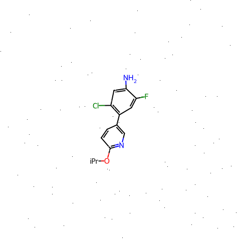 CC(C)Oc1ccc(-c2cc(F)c(N)cc2Cl)cn1